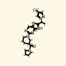 CC(c1nc2cnc(N3CCCC(C(=O)N4CCCC4)C3)nc2[nH]1)n1cc(Cl)cn1